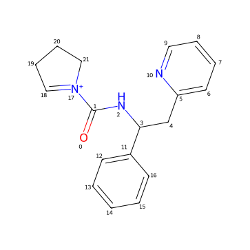 O=C(NC(Cc1ccccn1)c1ccccc1)[N+]1=CCCC1